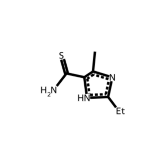 CCc1nc(C)c(C(N)=S)[nH]1